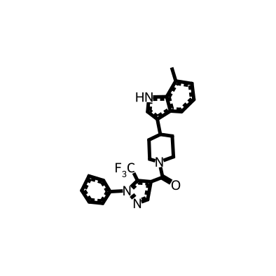 Cc1cccc2c(C3CCN(C(=O)c4cnn(-c5ccccc5)c4C(F)(F)F)CC3)c[nH]c12